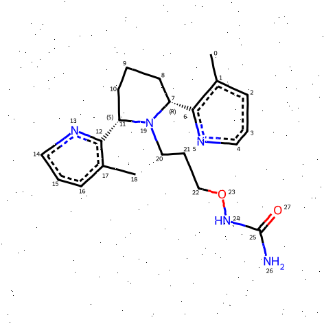 Cc1cccnc1[C@H]1CCC[C@@H](c2ncccc2C)N1CCCONC(N)=O